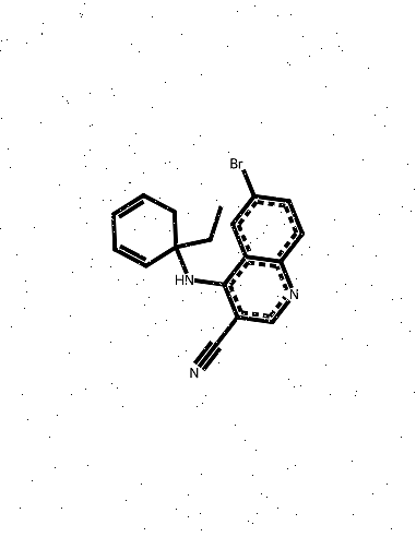 CCC1(Nc2c(C#N)cnc3ccc(Br)cc23)C=CC=CC1